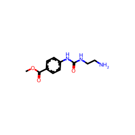 COC(=O)c1ccc(NC(=O)NCCN)cc1